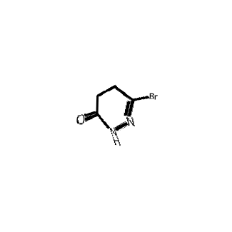 O=C1CCC(Br)=NN1